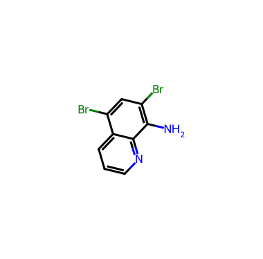 Nc1c(Br)cc(Br)c2cccnc12